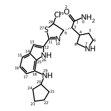 NC(=O)C(C1CCNC1)[C@@H]1N=C(c2cc3cccc(NC4CCCC4)c3[nH]2)SC1Cl